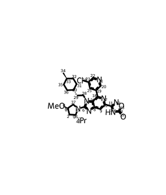 CO[C@@H]1C[C@@H](C(C)C)N(c2nc3cc(-c4noc(=O)[nH]4)nc(-c4cncc(Cl)c4)c3n2CC[C@H]2CC[C@H](C)CC2)C1